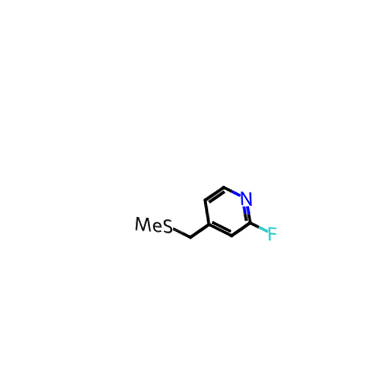 CSCc1ccnc(F)c1